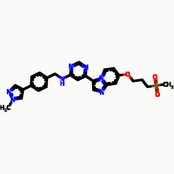 Cn1cc(-c2ccc(CNc3cc(-c4cnc5cc(OCCCS(C)(=O)=O)ccn45)ncn3)cc2)cn1